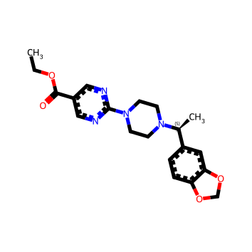 CCOC(=O)c1cnc(N2CCN([C@@H](C)c3ccc4c(c3)OCO4)CC2)nc1